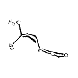 CC/C(C)=C\N=C=O